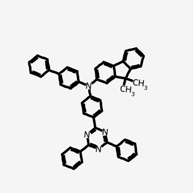 CC1(C)c2ccccc2-c2ccc(N(c3ccc(-c4ccccc4)cc3)c3ccc(-c4nc(-c5ccccc5)nc(-c5ccccc5)n4)cc3)cc21